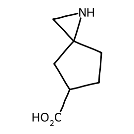 O=C(O)C1CCC2(CN2)C1